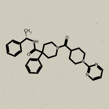 C[C@H](NC(=O)C1(c2ccccc2)CCN(C(=O)C2CCN(c3ncccn3)CC2)CC1)c1ccccc1